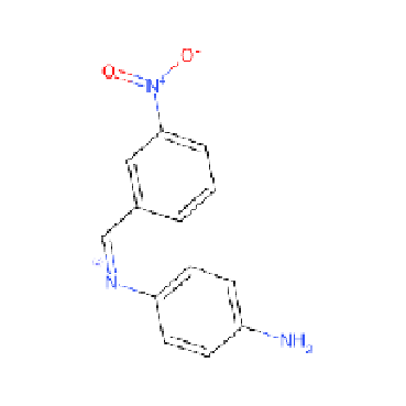 Nc1ccc(/N=C\c2cccc([N+](=O)[O-])c2)cc1